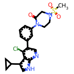 CS(=O)(=O)N1CCN(c2cccc(-c3cnc4[nH]cc(C5CC5)c4c3Cl)c2)C(=O)C1